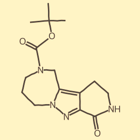 CC(C)(C)OC(=O)N1CCCn2nc3c(c2C1)CCNC3=O